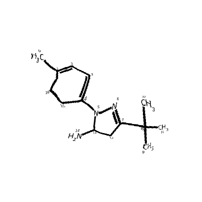 CC1=CC=C(N2N=C(C(C)(C)C)CC2N)CC1